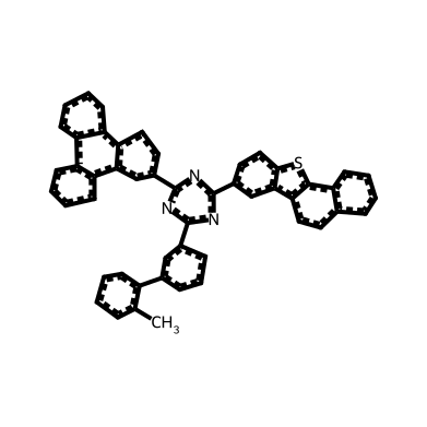 Cc1ccccc1-c1cccc(-c2nc(-c3ccc4sc5c6ccccc6ccc5c4c3)nc(-c3ccc4c5ccccc5c5ccccc5c4c3)n2)c1